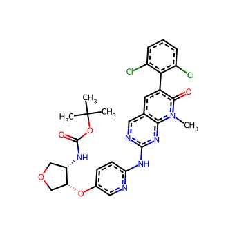 Cn1c(=O)c(-c2c(Cl)cccc2Cl)cc2cnc(Nc3ccc(O[C@@H]4COC[C@@H]4NC(=O)OC(C)(C)C)cn3)nc21